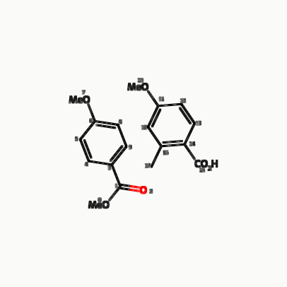 COC(=O)c1ccc(OC)cc1.COc1ccc(C(=O)O)c(C)c1